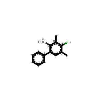 Cc1cc(-c2ccccc2)c(C=O)c(C)c1F